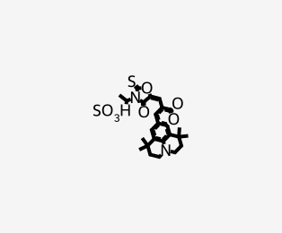 CC(N1C(=O)/C(=C\c2cc3cc4c5c(c3oc2=O)C(C)(C)CCN5CCC4(C)C)OC1=S)S(=O)(=O)O